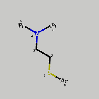 CC(=O)SCCN(C(C)C)C(C)C